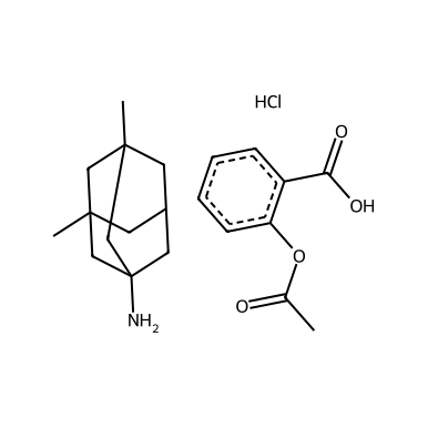 CC(=O)Oc1ccccc1C(=O)O.CC12CC3CC(C)(C1)CC(N)(C3)C2.Cl